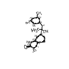 CCc1cc2ccc(C(C)(C#N)Cc3cc(C)cc(Br)c3)cc2[nH]c1=O